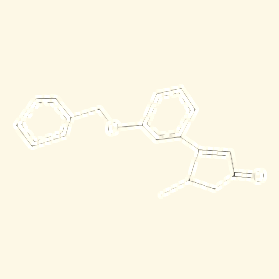 CC1CC(=O)C=C1c1cccc(OCc2ccccc2)c1